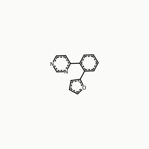 c1coc(-c2ccccc2-c2ccncn2)c1